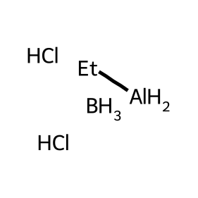 B.C[CH2][AlH2].Cl.Cl